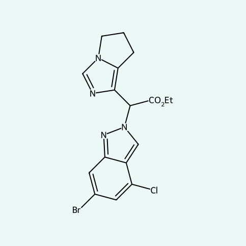 CCOC(=O)C(c1ncn2c1CCC2)n1cc2c(Cl)cc(Br)cc2n1